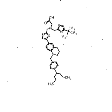 CCCC(CCC)c1ccc(CN2CCCc3cc(-c4csc(CN(CC(=O)O)Cc5nc(C(C)(C)C)cs5)n4)ccc32)cc1